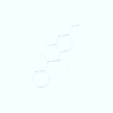 CC[n+]1ccc(NC(=O)c2ccccc2)c(F)c1.[I-]